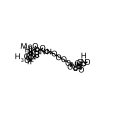 COc1cc(C(=O)NC2CCN(CCOCCOCCOCCOCC(=O)Nc3cccc4c3C(=O)N(C3CCC(=O)NC3=O)C4=O)CC2)c(F)cc1Nc1ncc2c(n1)N(C1CCCC1)CC(F)(F)C(=O)N2C